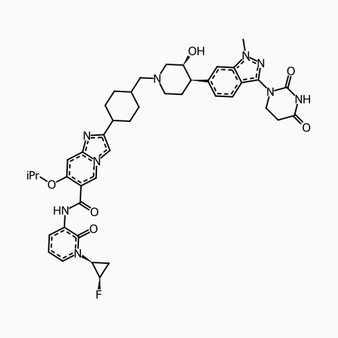 CC(C)Oc1cc2nc(C3CCC(CN4CC[C@H](c5ccc6c(N7CCC(=O)NC7=O)nn(C)c6c5)[C@H](O)C4)CC3)cn2cc1C(=O)Nc1cccn([C@H]2C[C@H]2F)c1=O